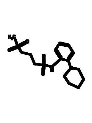 CS(=O)(=O)CCCS(=O)(=O)Nc1ccccc1N1CCCCC1